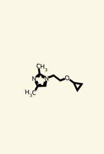 Cc1cn(CCOC2CC2)c(C)n1